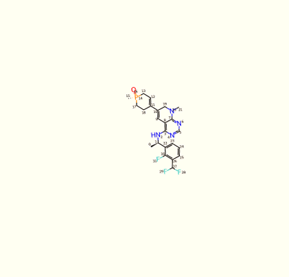 C[C@@H](Nc1ncnc2c1C=C(C1=CC[P@](C)(=O)CC1)CN2C)c1cccc(C(F)F)c1F